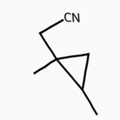 CC1CC1(C)CC#N